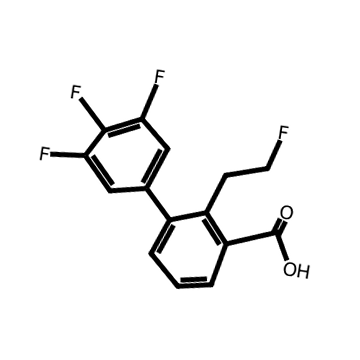 O=C(O)c1cccc(-c2cc(F)c(F)c(F)c2)c1CCF